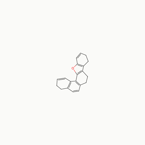 C1=Cc2c(ccc3c2-c2oc4c(c2CC3)CCC=C4)CC1